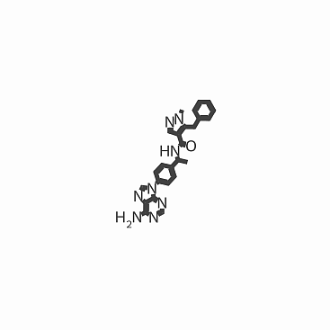 CC(NC(=O)c1cnn(C)c1Cc1ccccc1)c1ccc(-n2cnc3c(N)ncnc32)cc1